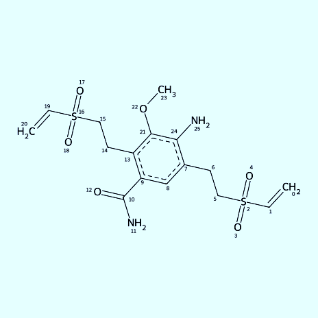 C=CS(=O)(=O)CCc1cc(C(N)=O)c(CCS(=O)(=O)C=C)c(OC)c1N